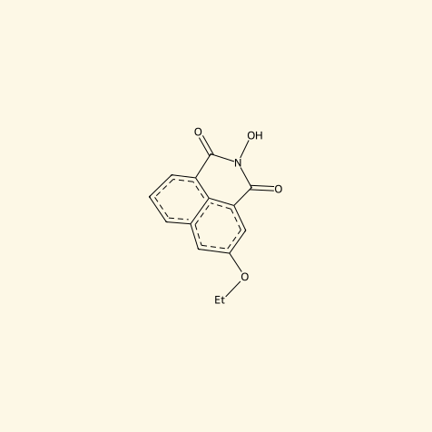 CCOc1cc2c3c(cccc3c1)C(=O)N(O)C2=O